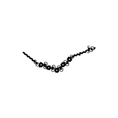 CCCCCCCCCCCCOc1ccc(C(=O)Oc2ccc(C(=O)Oc3cccc(OC(=O)c4ccc(OC(=O)c5ccc(OCCCCCCCCCCSC(=S)OOCC)cc5)cc4)c3)cc2)cc1